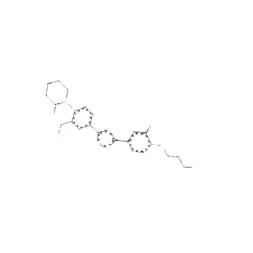 CCOC(=O)CCCOc1ccc(-c2noc(-c3ccc(N4CCCCC4C)c(COC)c3)n2)cc1F